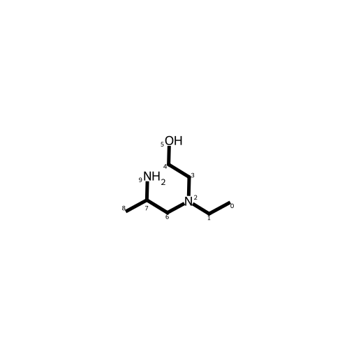 CCN(CCO)CC(C)N